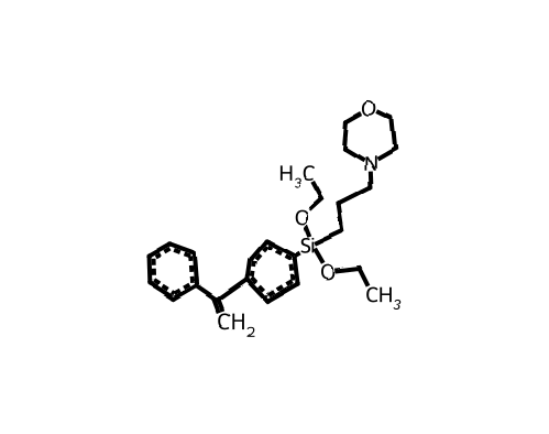 C=C(c1ccccc1)c1ccc([Si](CCCN2CCOCC2)(OCC)OCC)cc1